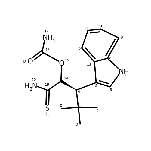 CC(C)(C)[C@H](c1c[nH]c2ccccc12)C(OC(N)=O)C(N)=S